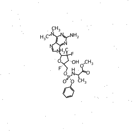 COC(=O)[C@@H](C)N[P@@](=O)(OC[C@@]1(F)O[C@@H](n2cnc3c(N(C)C)nc(N)nc32)[C@](C)(F)[C@@H]1O)Oc1ccccc1